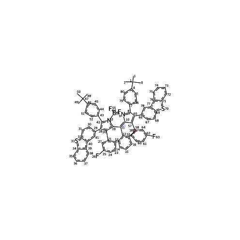 CC(C)(C)c1ccc(C2=N/C(=C(/c3ccccc3F)c3c(-c4cccc(F)c4)c(-c4ccc5sc6ccccc6c5c4)c(-c4ccc(C(C)(C)C)cc4)n3B(F)F)C(c3cccc(F)c3)=C2c2ccc3sc4ccccc4c3c2)cc1